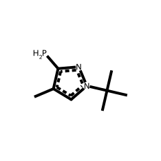 Cc1cn(C(C)(C)C)nc1P